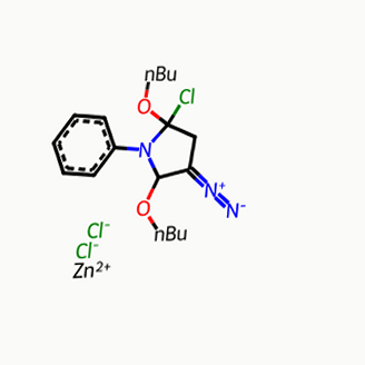 CCCCOC1C(=[N+]=[N-])CC(Cl)(OCCCC)N1c1ccccc1.[Cl-].[Cl-].[Zn+2]